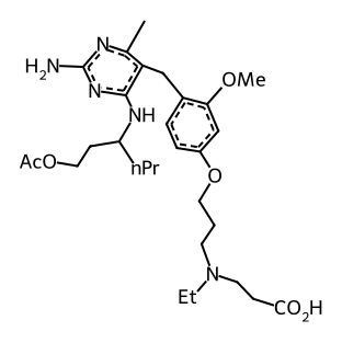 CCCC(CCOC(C)=O)Nc1nc(N)nc(C)c1Cc1ccc(OCCCN(CC)CCC(=O)O)cc1OC